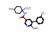 CC[C@H]1CC[C@@](NC(=O)c2cnc(OC)c(-c3cccc(C(F)(F)F)c3)c2)(C(=O)O)CC1